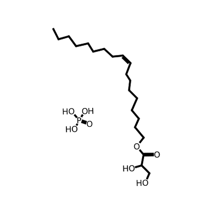 CCCCCCCC/C=C\CCCCCCCCOC(=O)C(O)CO.O=P(O)(O)O